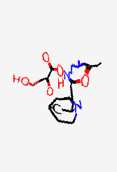 Cc1nnc(C2CC3CCN2CC3)o1.O=C(O)C(=O)O